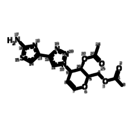 CC(=O)OCC1OC=CC(n2cc(-c3csc(N)n3)nn2)[C@H]1OC(C)=O